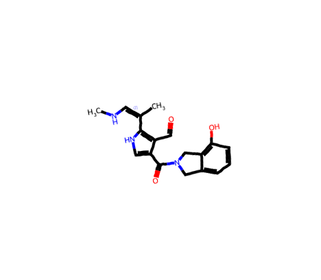 CN/C=C(/C)c1[nH]cc(C(=O)N2Cc3cccc(O)c3C2)c1C=O